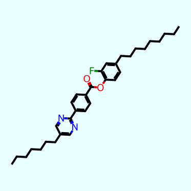 CCCCCCCCCc1ccc(OC(=O)c2ccc(-c3ncc(CCCCCCC)cn3)cc2)c(F)c1